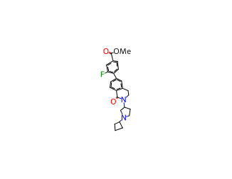 COC(=O)c1ccc(-c2ccc3c(c2)CCN(C2CCN(C4CCC4)C2)C3=O)c(F)c1